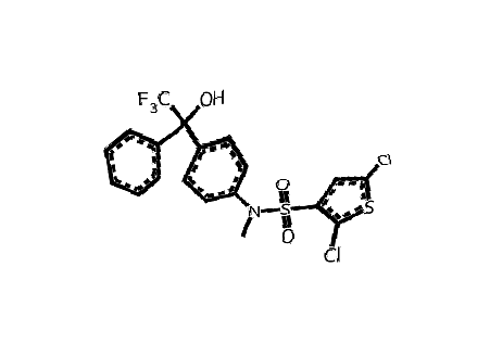 CN(c1ccc(C(O)(c2ccccc2)C(F)(F)F)cc1)S(=O)(=O)c1cc(Cl)sc1Cl